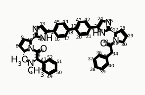 CN(C)[C@@H](C(=O)N1CC=C[C@H]1c1ncc(-c2ccc(-c3ccc(-c4cnc([C@@H]5C=CCN5C(=O)Cc5ccccc5)[nH]4)cc3)cc2)[nH]1)c1ccccc1